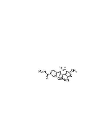 CNC(=O)c1ccc(Nc2ncnc3sc(C)c(C)c23)c(OC)c1